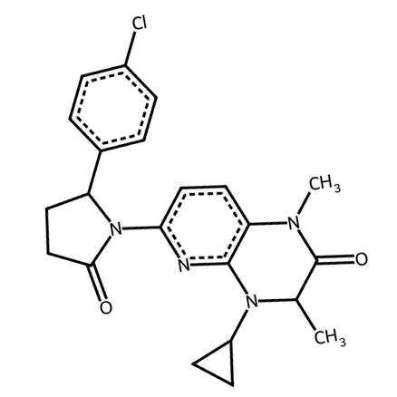 CC1C(=O)N(C)c2ccc(N3C(=O)CCC3c3ccc(Cl)cc3)nc2N1C1CC1